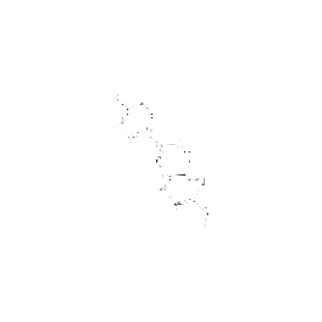 CSc1ccc2cc(-c3ccc(C)cc3)ccc2n1